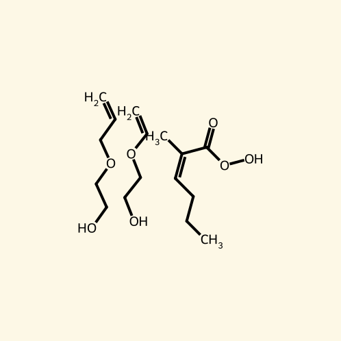 C=CCOCCO.C=COCCO.CCCC=C(C)C(=O)OO